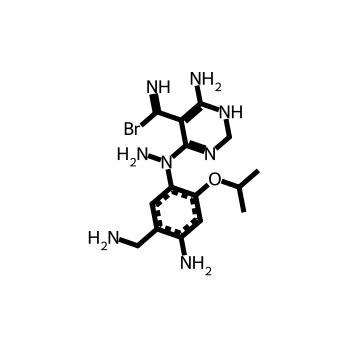 CC(C)Oc1cc(N)c(CN)cc1N(N)C1=NCNC(N)=C1C(=N)Br